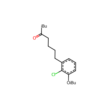 CCC(C)C(=O)CCCCc1cccc(OCC(C)C)c1Cl